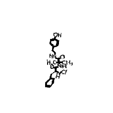 CC(C)(NC(=O)[C@H](Cc1ccccc1)NCl)C(=O)NCCc1ccc(O)cc1